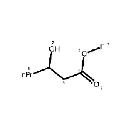 CCCC(O)CC(=O)OF